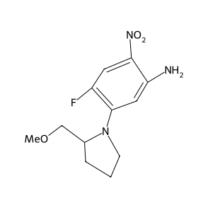 COCC1CCCN1c1cc(N)c([N+](=O)[O-])cc1F